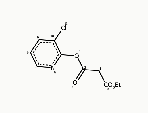 CCOC(=O)CC(=O)Oc1ncccc1Cl